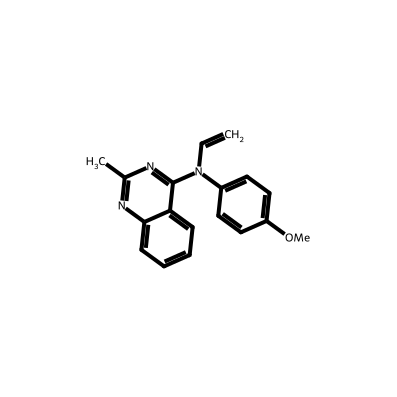 C=CN(c1ccc(OC)cc1)c1nc(C)nc2ccccc12